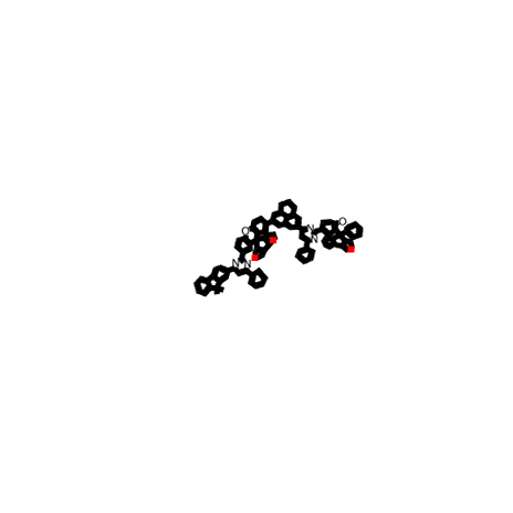 CC1(C)c2ccccc2-c2ccc(-c3cc(-c4ccccc4)nc(-c4ccc5c(c4)C4(c6cc(-c7cc8c9c(cc(-c%10cc(-c%11ccccc%11)nc(-c%11ccc%12c(c%11)C%11(c%13ccccc%13O%12)c%12ccccc%12-c%12ccccc%12%11)n%10)cc9c7)C=CC8)ccc6O5)c5ccccc5-c5ccccc54)n3)cc21